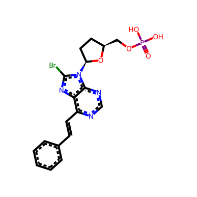 O=P(O)(O)OC[C@@H]1CC[C@H](n2c(Br)nc3c(/C=C/c4ccccc4)ncnc32)O1